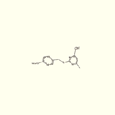 COc1ccc(CSc2nc(C)cc(O)n2)cn1